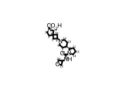 O=C(O)N1CCC2(CC(N3CCC([C@@H]4CCCN4C(=O)NC4COC4)CC3)C2)C1